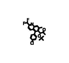 CC(=O)[C@@H](OC(C)(C)C)c1c(C)cc2nc(C(F)F)ccc2c1-c1ccc(Cl)cc1